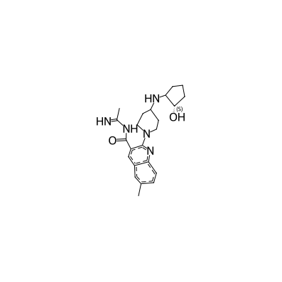 CC(=N)NC(=O)c1cc2cc(C)ccc2nc1N1CCC(NC2CCC[C@@H]2O)CC1